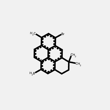 Bc1cc2c3c(cc4c(Br)cc(C)c5ccc1c3c54)C(C)(C)CC2